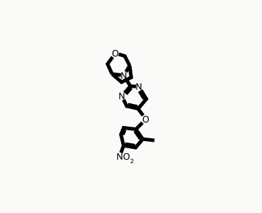 Cc1cc([N+](=O)[O-])ccc1Oc1cnc(N2C3CCC2COC3)nc1